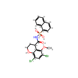 COc1c(Br)cc(Br)c2c1C(C(=O)NS(=O)(=O)c1cccc3ccccc13)CCO2